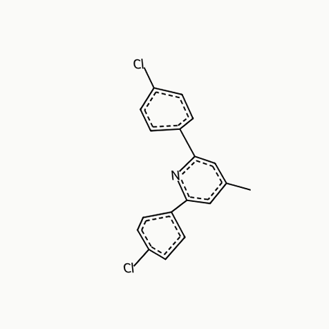 Cc1cc(-c2ccc(Cl)cc2)nc(-c2ccc(Cl)cc2)c1